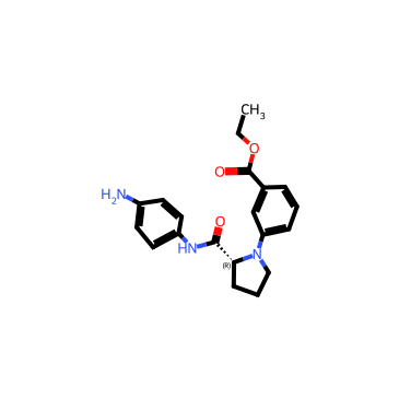 CCOC(=O)c1cccc(N2CCC[C@@H]2C(=O)Nc2ccc(N)cc2)c1